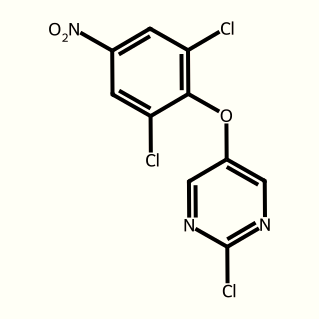 O=[N+]([O-])c1cc(Cl)c(Oc2cnc(Cl)nc2)c(Cl)c1